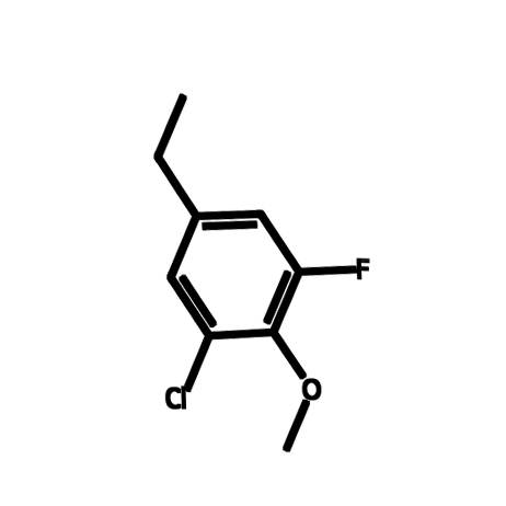 CCc1cc(F)c(OC)c(Cl)c1